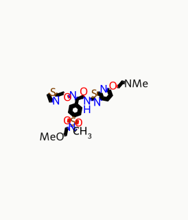 CNCCOc1ccc2nc(NC(=O)/C(=N/OCc3nccs3)c3ccc(S(=O)(=O)N(C)CCOC)cc3)sc2n1